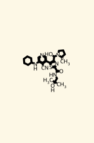 C[C@H]1CCCN1C(O)c1nc(C(=O)NCC(C)(C)O)sc1-c1cncc(NC2CCCCC2)c1C#N